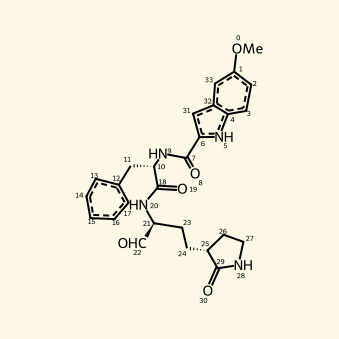 COc1ccc2[nH]c(C(=O)N[C@@H](Cc3ccccc3)C(=O)N[C@H](C=O)CC[C@@H]3CCNC3=O)cc2c1